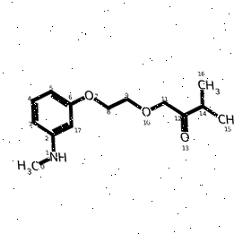 CNc1cccc(OCCOCC(=O)C(C)C)c1